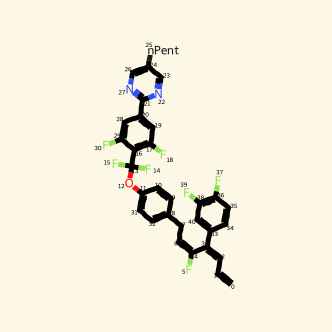 C=C/C=C(\C(F)=C/Cc1ccc(OC(F)(F)c2c(F)cc(-c3ncc(CCCCC)cn3)cc2F)cc1)c1ccc(F)c(F)c1